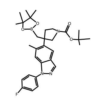 Cc1cc2c(cnn2-c2ccc(F)cc2)cc1C1(CB2OC(C)(C)C(C)(C)O2)CCN(C(=O)OC(C)(C)C)C1